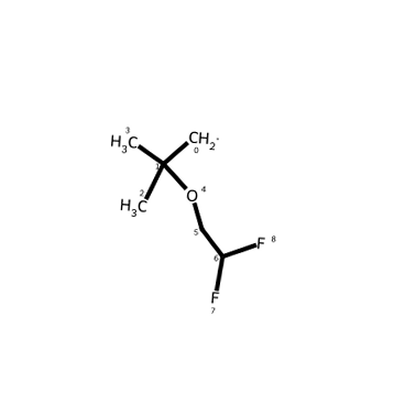 [CH2]C(C)(C)OCC(F)F